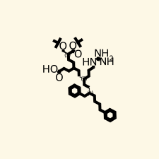 CC(C)(C)OC[C@H](CCC(CCC(=O)O)CC[C@H](CCCNC(=N)N)CC[C@H](CCCCc1ccccc1)Cc1ccccc1)C(=O)OC(C)(C)C